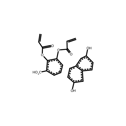 C=CC(=O)Oc1cccc(C(=O)O)c1OC(=O)C=C.Oc1ccc2cc(O)ccc2c1